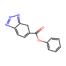 O=C(Oc1ccccc1)C1=CC=C2N=NN=C2C1